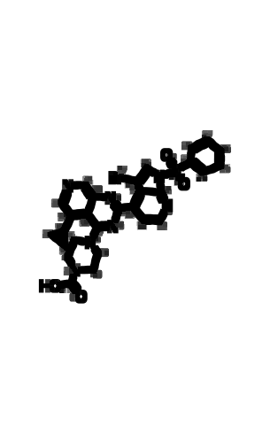 O=C(O)N1CCN(c2nc(-c3ccnc4c3c(Br)cn4S(=O)(=O)c3ccccc3)nc3cncc(C4CC4)c23)CC1